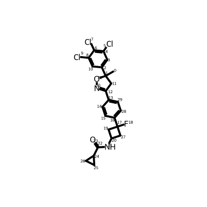 CC1(c2cc(Cl)c(Cl)c(Cl)c2)CC(c2ccc(C3(F)CC(NC(=O)C4CC4)C3)cc2)=NO1